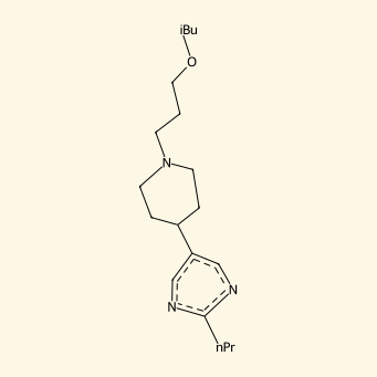 CCCc1ncc(C2CCN(CCCOC(C)CC)CC2)cn1